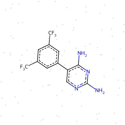 Nc1ncc(-c2cc(C(F)(F)F)cc(C(F)(F)F)c2)c(N)n1